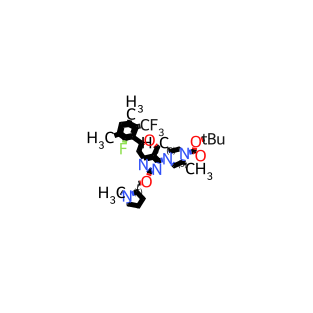 Cc1cc(C)c(C(F)(F)F)c(C2Cc3nc(OC[C@@H]4CCCN4C)nc(N4C[C@H](C)N(C(=O)OC(C)(C)C)C[C@H]4C)c3CO2)c1F